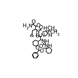 CC1(C)[C@@H]2[C@@H](C(=O)NC(CC3CC3)C(=O)C(N)=O)N(C(=O)[C@@H](NC(=O)NC3(COC(=O)c4ccccc4)CCCCC3)C3CCCCC3)C[C@@H]21